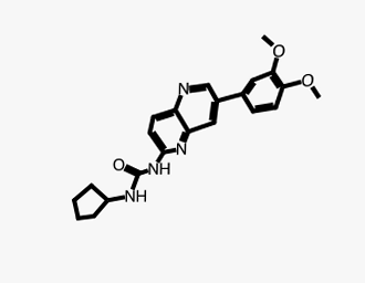 COc1ccc(-c2cnc3ccc(NC(=O)NC4CCCC4)nc3c2)cc1OC